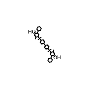 Cc1cc(O)c(C2CCCCC2)cc1C(C)(C)c1ccc(-c2ccc(C(C)(C)c3cc(C4CCCCC4)c(O)cc3C)cc2)cc1